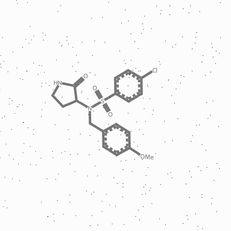 COc1ccc(CN(C2CCNC2=O)S(=O)(=O)c2ccc(Cl)cc2)cc1